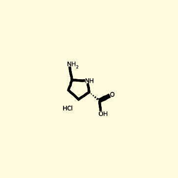 Cl.NC1CC[C@@H](C(=O)O)N1